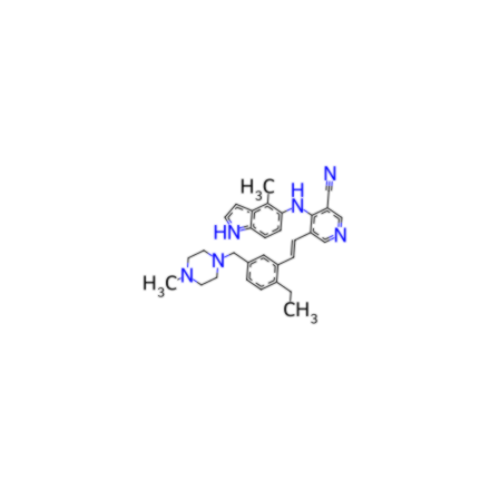 CCc1ccc(CN2CCN(C)CC2)cc1C=Cc1cncc(C#N)c1Nc1ccc2[nH]ccc2c1C